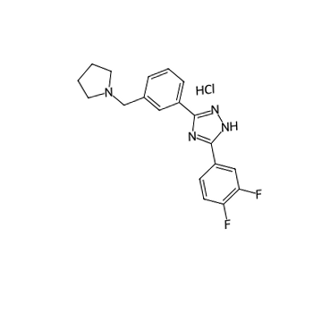 Cl.Fc1ccc(-c2nc(-c3cccc(CN4CCCC4)c3)n[nH]2)cc1F